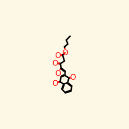 CCCCOC(=O)CC(=O)c1cc2c(o1)C(=O)c1ccccc1C2=O